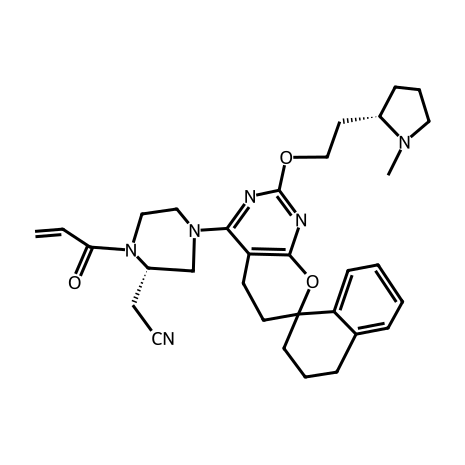 C=CC(=O)N1CCN(c2nc(OCC[C@@H]3CCCN3C)nc3c2CCC2(CCCc4ccccc42)O3)C[C@@H]1CC#N